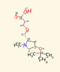 CN1CC(OC(C)(C)C)C[C@H]1COCCC(=O)O